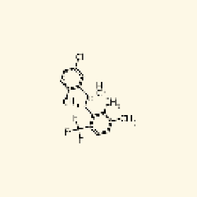 Cc1ccc(Cl)cc1[C@H](C)Cc1c(C(F)(F)F)ccc(C)c1C